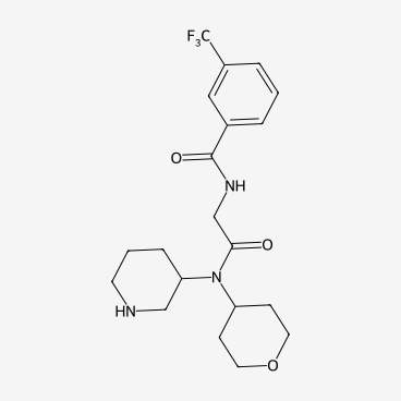 O=C(NCC(=O)N(C1CCOCC1)C1CCCNC1)c1cccc(C(F)(F)F)c1